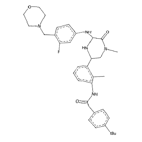 Cc1c(NC(=O)c2ccc(C(C)(C)C)cc2)cccc1C1CN(C)C(=O)C(Nc2ccc(CN3CCOCC3)c(F)c2)N1